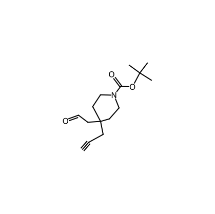 C#CCC1(CC=O)CCN(C(=O)OC(C)(C)C)CC1